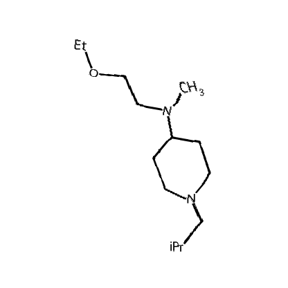 CCOCCN(C)C1CCN(CC(C)C)CC1